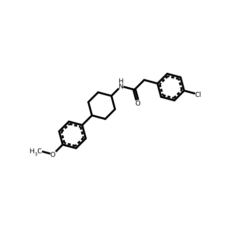 COc1ccc(C2CCC(NC(=O)Cc3ccc(Cl)cc3)CC2)cc1